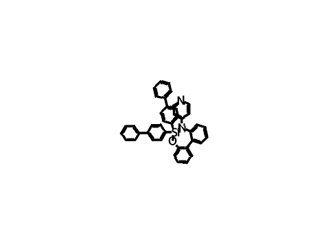 c1ccc(-c2ccc([Si]3(c4ccc(-c5ccccc5)cc4)Oc4ccccc4-c4ccccc4N3c3ccncc3)cc2)cc1